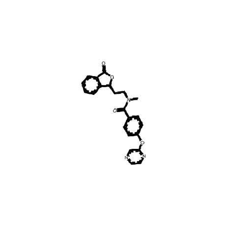 CN(CCC1OC(=O)c2ccccc21)C(=O)c1ccc(Oc2cnccn2)cc1